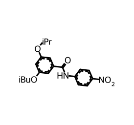 CC(C)COc1cc(OC(C)C)cc(C(=O)Nc2ccc([N+](=O)[O-])cc2)c1